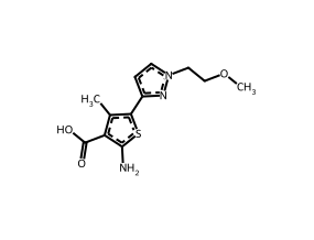 COCCn1ccc(-c2sc(N)c(C(=O)O)c2C)n1